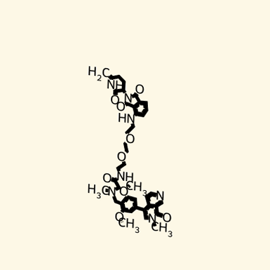 C=C1CCC(N2C(=O)c3cccc(NCCOCCOCCNC(=O)CN(C)Cc4c(OC)cc(-c5cn(C)c(=O)c6cnccc56)cc4OC)c3C2=O)C(=O)N1